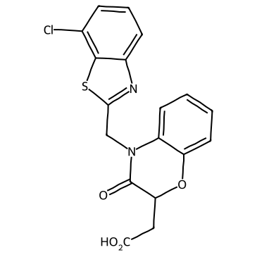 O=C(O)CC1Oc2ccccc2N(Cc2nc3cccc(Cl)c3s2)C1=O